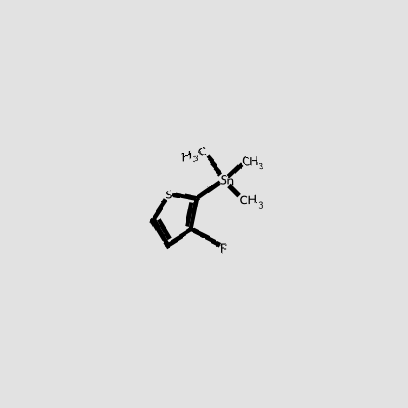 [CH3][Sn]([CH3])([CH3])[c]1sccc1F